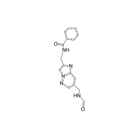 O=CNCc1cnn2cc(CNC(=O)c3ccccc3)nc2c1